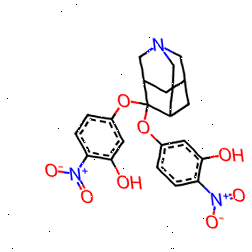 O=[N+]([O-])c1ccc(OC2(Oc3ccc([N+](=O)[O-])c(O)c3)C3CC4CC2CN(C4)C3)cc1O